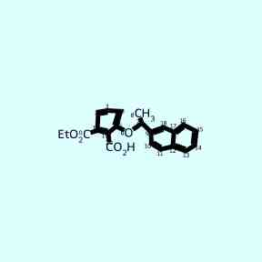 CCOC(=O)c1cccc(OC(C)c2ccc3ccccc3c2)c1C(=O)O